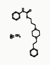 Cl.Cl.O.O=C(Nc1ccccc1)SCCCN1CCN(CCc2ccccc2)CC1